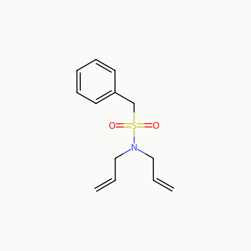 C=CCN(CC=C)S(=O)(=O)Cc1ccccc1